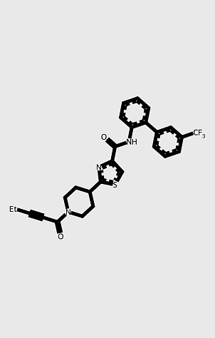 CCC#CC(=O)N1CCC(c2nc(C(=O)Nc3ccccc3-c3cccc(C(F)(F)F)c3)cs2)CC1